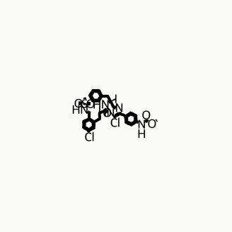 COC(=O)Nc1ccc(-c2nc([C@@](I)(Cc3ccccc3)NC(=O)CCc3cc(Cl)ccc3CNS(C)(=O)=O)[nH]c2Cl)cc1